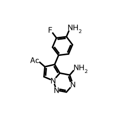 CC(=O)c1cn2ncnc(N)c2c1-c1ccc(N)c(F)c1